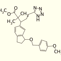 COC(=O)C(C)(C)C(CCc1nnn[nH]1)c1ccc2c(c1)C(OCc1ccc(OC)cc1)CC2